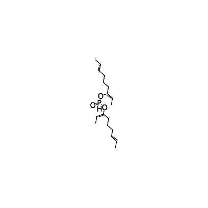 CC=CCCCC(=CC)O[PH](=O)OC(=CC)CCCC=CC